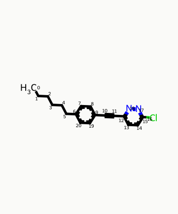 CCCCCCc1ccc(C#Cc2ccc(Cl)nn2)cc1